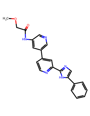 COCC(=O)Nc1cncc(-c2ccnc(-c3ncc(-c4ccccc4)[nH]3)c2)c1